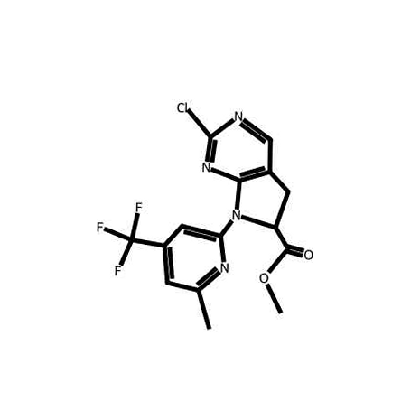 COC(=O)C1Cc2cnc(Cl)nc2N1c1cc(C(F)(F)F)cc(C)n1